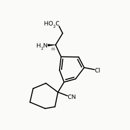 N#CC1(c2cc(Cl)cc([C@@H](N)CC(=O)O)c2)CCCCC1